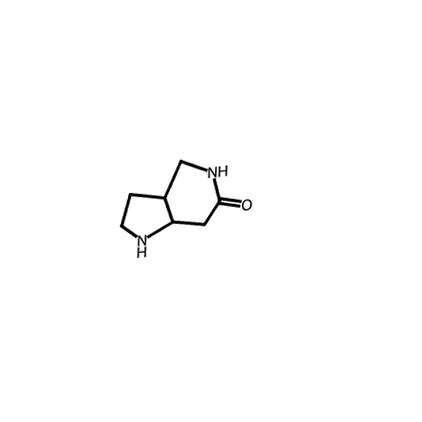 O=C1CC2NCCC2CN1